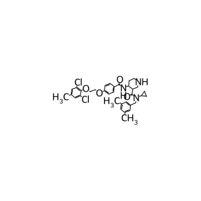 Cc1cc(C)cc(CN(C(=O)C2CNCCC2NC(=O)c2ccc(OCCOc3c(Cl)cc(C)cc3Cl)cc2)C2CC2)c1